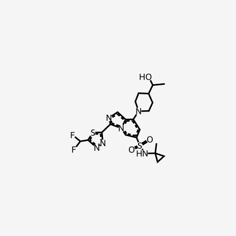 CC(O)C1CCN(c2cc(S(=O)(=O)NC3(C)CC3)cn3c(-c4nnc(C(F)F)s4)ncc23)CC1